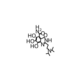 CC(C)N(CCc1nc2c(O)c(O)c(O)c(C(N)=O)c2c(=O)[nH]1)C(C)C